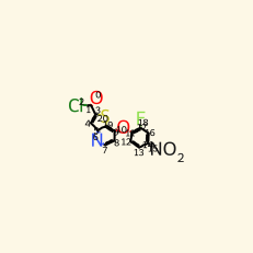 O=C(Cl)c1cc2nccc(Oc3ccc([N+](=O)[O-])cc3F)c2s1